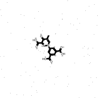 Cc1cn(-c2cc(C(=O)O)cc(C(=O)O)c2)nc(C(=O)O)c1=O